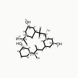 CC(CC1C[C@H](O)CN([C@@H](C)C(C)(C)C2C[C@@H](O)CN([C@@H](C)C(C)C)C2)C1)[C@@H](C)N1CCC[C@H](O)C1